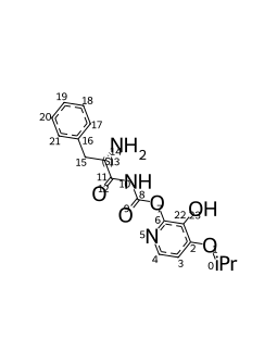 CC(C)Oc1ccnc(OC(=O)NC(=O)[C@@H](N)Cc2ccccc2)c1O